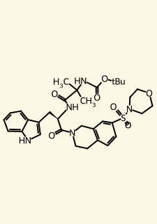 CC(C)(C)OC(=O)NC(C)(C)C(=O)N[C@H](Cc1c[nH]c2ccccc12)C(=O)N1CCc2ccc(S(=O)(=O)N3CCOCC3)cc2C1